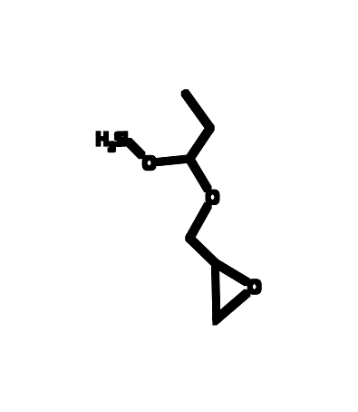 CCC(O[SiH3])OCC1CO1